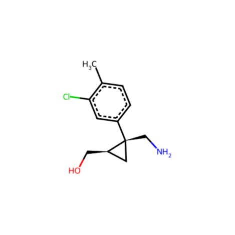 Cc1ccc([C@]2(CN)C[C@H]2CO)cc1Cl